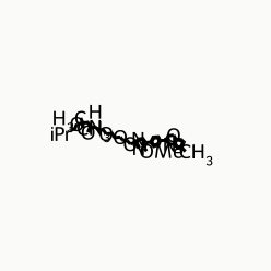 COc1nc(OCCOCCOCCNC(=O)CC(C)(C)OCCC(C)C)ncc1-c1ccc(C2=Nc3cc(C)ccc3OC2)cc1